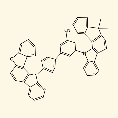 CC1(C)c2ccccc2-c2c1ccc1c3ccccc3n(-c3cc(C#N)cc(-c4ccc(-n5c6ccccc6c6ccc7oc8ccccc8c7c65)cc4)c3)c21